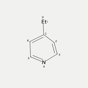 C[C]c1ccncc1